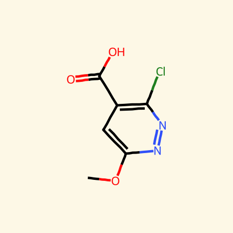 COc1cc(C(=O)O)c(Cl)nn1